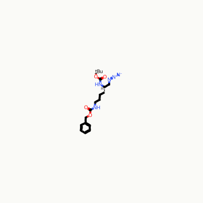 CC(C)(C)OC(=O)N[C@@H](CCCCNC(=O)OCc1ccccc1)CN=[N+]=[N-]